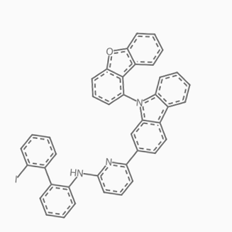 Ic1ccccc1-c1ccccc1Nc1cccc(-c2ccc3c4ccccc4n(-c4cccc5oc6ccccc6c45)c3c2)n1